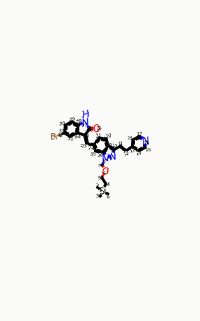 C[Si](C)(C)CCOCn1nc(C=Cc2ccncc2)c2ccc(C=C3C(=O)Nc4ccc(Br)cc43)cc21